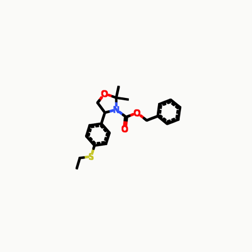 CCSc1ccc(C2COC(C)(C)N2C(=O)OCc2ccccc2)cc1